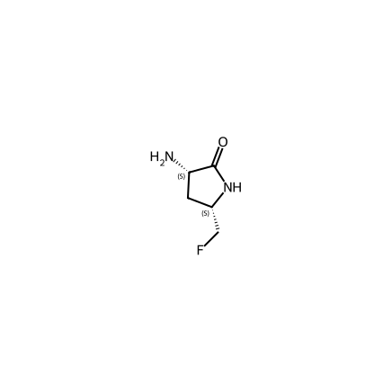 N[C@H]1C[C@@H](CF)NC1=O